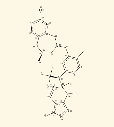 Cc1ccc([C@H](C(C)(C)C(=O)O)C2(C)C=Cc3c(nnn3C)C2C)cc1CN1Cc2nc(O)ccc2O[C@H](C)C1